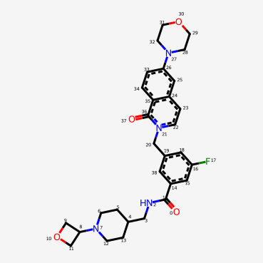 O=C(NCC1CCN(C2COC2)CC1)c1cc(F)cc(Cn2ccc3cc(N4CCOCC4)ccc3c2=O)c1